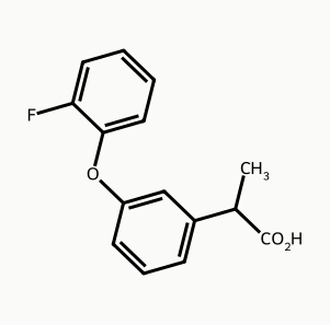 CC(C(=O)O)c1cccc(Oc2ccccc2F)c1